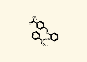 CCCCCCCCN(CCCCCCCC)c1ccccc1.O=C(c1ccc(N=Nc2ccccc2)cc1)C(F)(F)F